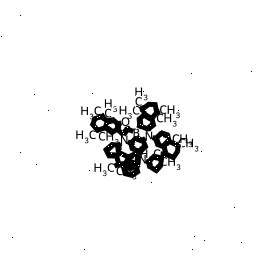 CC1(C)CCC(C)(C)c2cc(N3c4cc5c(cc4B4c6oc7cc8c(cc7c6N(c6cccc7c6-c6ccccc6C7(C)C)c6cc(N(c7ccccc7)c7ccccc7)cc3c64)C(C)(C)CCC8(C)C)C(C)(C)CCC5(C)C)ccc21